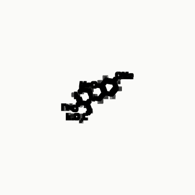 CCOC(=O)CC1C(OCC)=NCCN1Cc1ccc(OC)cc1OC